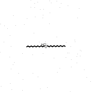 CCCCCCCCCCCCOCCCCCCCCCCCC.Cl